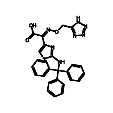 O=C(O)/C(=N/OCc1nnn[nH]1)c1csc(NC(c2ccccc2)(c2ccccc2)c2ccccc2)n1